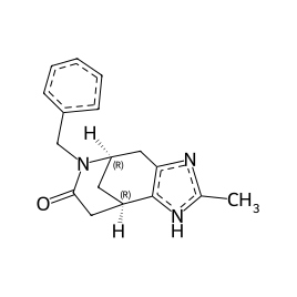 Cc1nc2c([nH]1)[C@H]1CC(=O)N(Cc3ccccc3)[C@@H](C2)C1